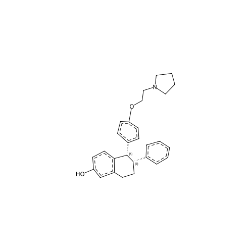 Oc1ccc2c(c1)CC[C@@H](c1ccccc1)[C@H]2c1ccc(OCCN2CCCC2)cc1